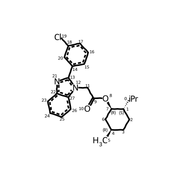 CC(C)[C@@H]1CC[C@@H](C)C[C@H]1OC(=O)Cn1c(-c2cccc(Cl)c2)nc2ccccc21